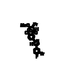 COC(=O)C(NS(=O)(=O)c1cc(-c2ncc(-c3ccc(F)c(Br)c3)[nH]2)ccc1Cl)C(C)C